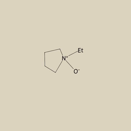 CC[N+]1([O-])CCCC1